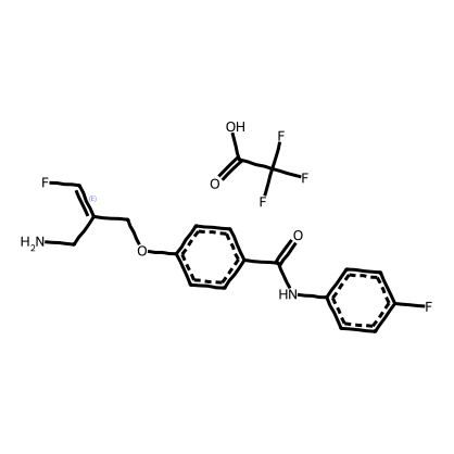 NC/C(=C\F)COc1ccc(C(=O)Nc2ccc(F)cc2)cc1.O=C(O)C(F)(F)F